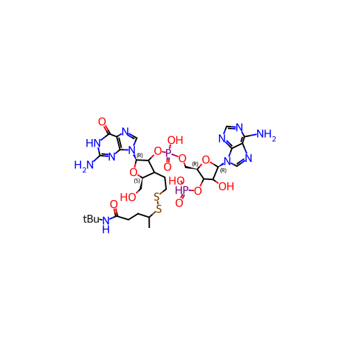 CC(CCC(=O)NC(C)(C)C)SSCCC1C(OP(=O)(O)OC[C@H]2O[C@@H](n3cnc4c(N)ncnc43)C(O)C2O[PH](=O)O)[C@H](n2cnc3c(=O)[nH]c(N)nc32)O[C@@H]1CO